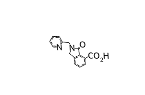 O=C(O)c1cccc2c1C(=O)N(Cc1ccccn1)C2